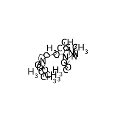 COC(=O)C[C@@H]1N=C(c2ccc(-c3ccc4c(c3)N(CC(=O)OC(C)(C)C)C(=O)CC4)cc2)c2c(sc(C)c2C)-n2c(C)nnc21